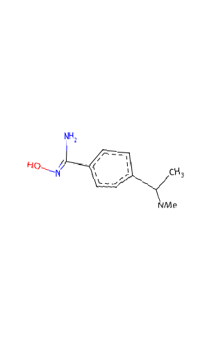 CNC(C)c1ccc(/C(N)=N/O)cc1